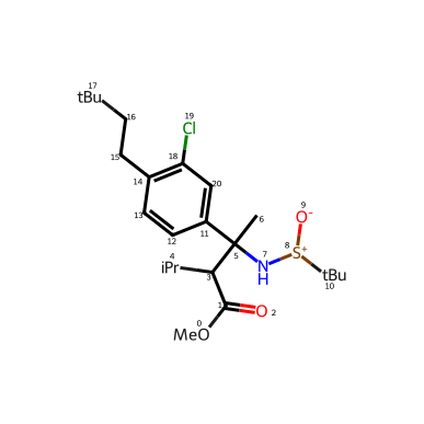 COC(=O)C(C(C)C)C(C)(N[S+]([O-])C(C)(C)C)c1ccc(CCC(C)(C)C)c(Cl)c1